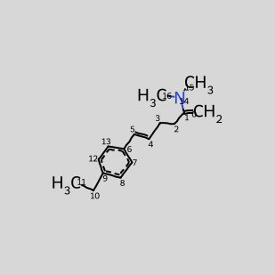 C=C(CC/C=C/c1ccc(CC)cc1)N(C)C